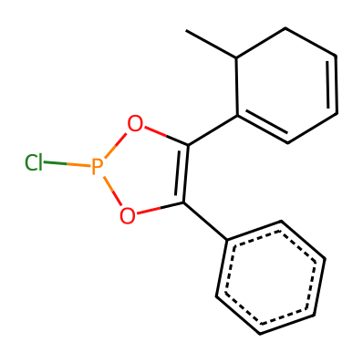 CC1CC=CC=C1C1=C(c2ccccc2)OP(Cl)O1